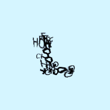 CC(C)(C)OC(=O)N1CCc2cc(S(C)(=O)=O)ccc2C1C(=O)Nc1ccc(-c2ccc(C(O)(C(F)(F)F)C(F)(F)F)cc2)c(Cl)c1